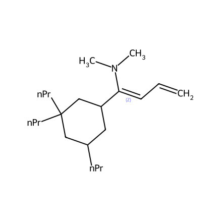 C=C/C=C(/C1CC(CCC)CC(CCC)(CCC)C1)N(C)C